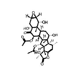 CC(=O)O[C@@H]1[C@H]2[C@@H]3[C@@H](OC(C)=O)C(=O)[C@@]4(O)C[C@@H]5O[C@@H]5[C@H](O)[C@]4(C)[C@H]3C[C@H](O)[C@]2(C)[C@@H]2[C@@H]1[C@]1(C)C(=C[C@H]2C)OC(=O)[C@@]1(C)O